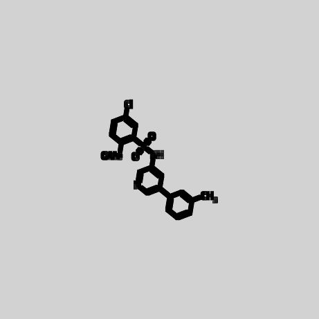 COc1ccc(Cl)cc1S(=O)(=O)Nc1cncc(-c2cccc(C)c2)c1